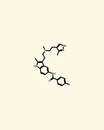 Cc1n[nH]cc1CCN(C)CCc1c(C)[nH]c2ccc(NC(=O)c3ccc(F)cc3)cc12